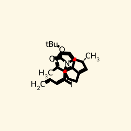 C=C/C=C(/I)C1=C(/C2=C\[C@@H](C)CN(C(=O)OC(C)(C)C)CCC2)C=C=CN=C1C